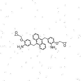 Nc1cc(Cc2c3ccccc3c(Cc3ccc(OCC4CO4)c(N)c3)c3ccccc23)ccc1OCC1CO1